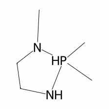 CN1CCN[PH]1(C)C